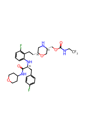 O=C(NCC(F)(F)F)OC[C@@H]1CO[C@H](CCc2c(F)cccc2N[C@@H](Cc2ccc(F)cc2)C(=O)NC2CCOCC2)CN1